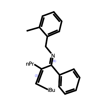 CCCC(=C/C(C)CC)/C(=N\Cc1ccccc1C)c1ccccc1